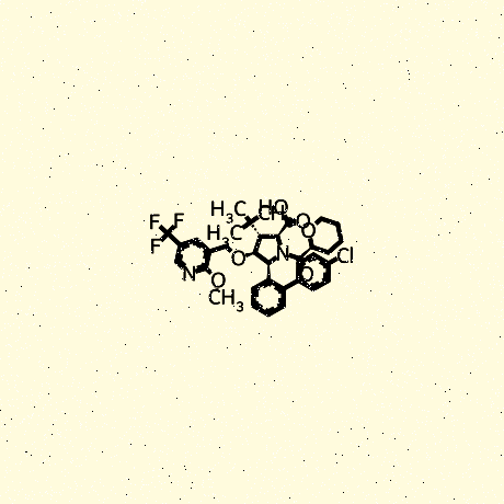 COc1ncc(C(F)(F)F)cc1CO[C@H]1[C@H](C(C)(C)C)[C@@H](C(=O)O)N(C(=O)[C@@H]2CCCCO2)[C@H]1c1ccccc1-c1ccc(Cl)cc1